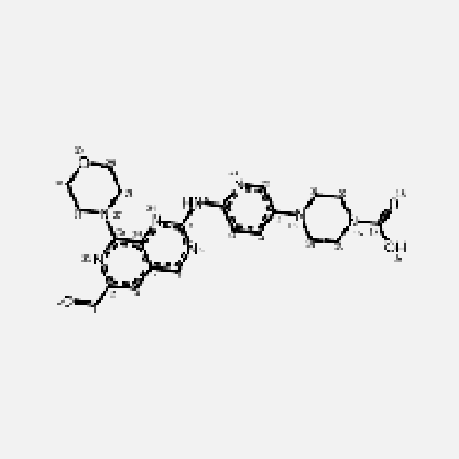 O=Cc1cc2cnc(Nc3ccc(N4CCN(C(=O)O)CC4)cn3)nc2c(N2CCOCC2)n1